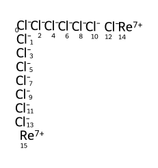 [Cl-].[Cl-].[Cl-].[Cl-].[Cl-].[Cl-].[Cl-].[Cl-].[Cl-].[Cl-].[Cl-].[Cl-].[Cl-].[Cl-].[Re+7].[Re+7]